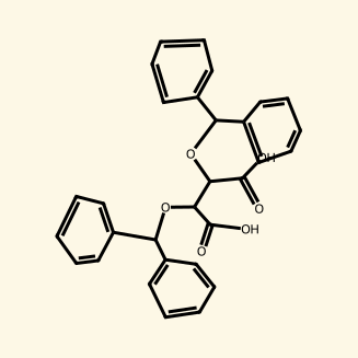 O=C(O)C(OC(c1ccccc1)c1ccccc1)C(OC(c1ccccc1)c1ccccc1)C(=O)O